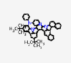 CC(C)(C)c1cc(N(c2ccccc2)c2ccccc2)c2c(c1)c1cc(C(C)(C)C)cc3c4c5c6cc7ccccc7c7c8c9ccccc9ccc8n(c5ncc4n2c13)c67